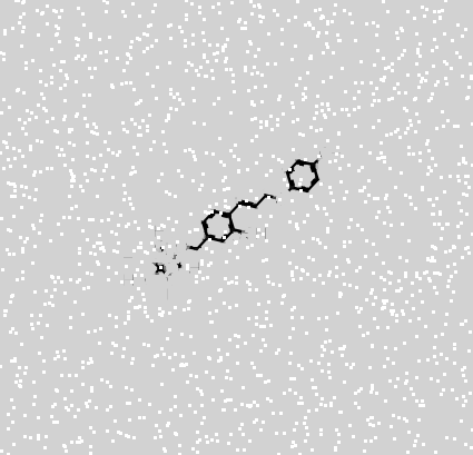 Cc1ccc(OCC=Cc2ccc(CO[Si](C)(C)C(C)(C)C)cc2C)cc1